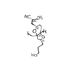 C[C@@H](C#N)C[C@H]1CC[C@@H]2O[C@@H](CCCO)CC2(CI)O1